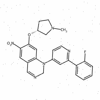 CN1CC[C@@H](Oc2cc3c(cc2[N+](=O)[O-])C=NCN3c2ccnc(-c3ccccc3F)c2)C1